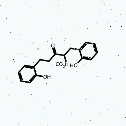 O=C(O)C(Cc1ccccc1O)C(=O)CCc1ccccc1O